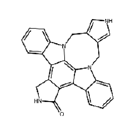 O=C1NCc2c1c1c3ccccc3n3c1c1c2c2ccccc2n1Cc1c[nH]cc1C3